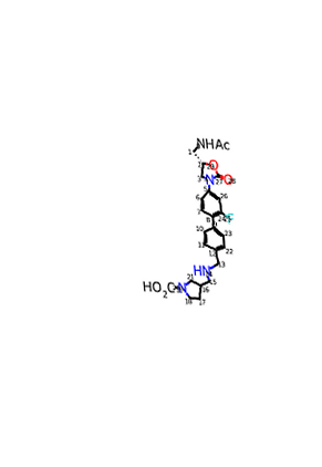 CC(=O)NC[C@H]1CN(c2ccc(-c3ccc(CNCC4CCN(C(=O)O)C4)cc3)c(F)c2)C(=O)O1